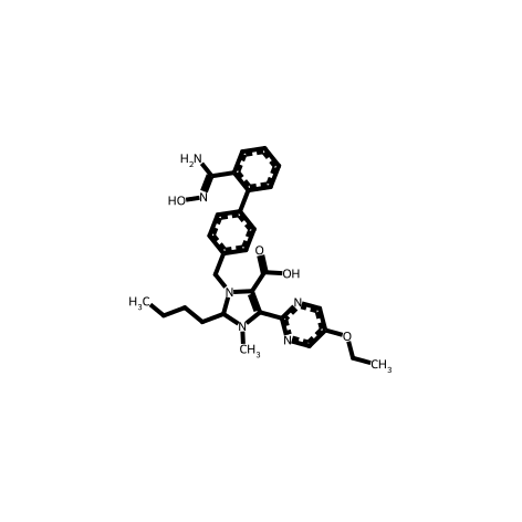 CCCCC1N(C)C(c2ncc(OCC)cn2)=C(C(=O)O)N1Cc1ccc(-c2ccccc2C(N)=NO)cc1